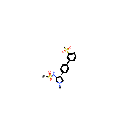 CC(C)S(=O)(=O)N[C@H]1CN(C)C[C@@H]1c1ccc(-c2cccc(S(C)(=O)=O)c2)cc1